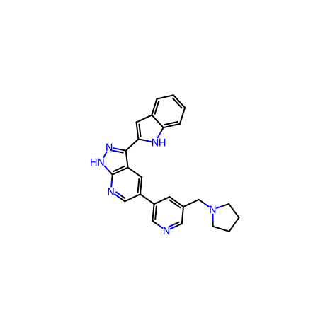 c1ccc2[nH]c(-c3n[nH]c4ncc(-c5cncc(CN6CCCC6)c5)cc34)cc2c1